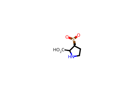 O=C(O)C1NCCC1=S(=O)=O